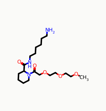 COCCOCCOCC(=O)N1CCCCC1C(=O)NCCCCCCN